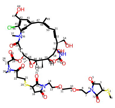 CSC1CC(=O)N(CCOCCOCCN2C(=O)CC(SCCC(=O)N(C)[C@H](C)C(=O)O[C@H]3CC(=O)N(C)c4cc(cc(CO)c4Cl)C/C(C)=C/C=C/[C@@H](CO)[C@@]4(O)C[C@H](OC(=O)N4)[C@@H](C)[C@@H]4O[C@@]34C)C2=O)C1=O